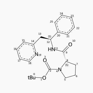 CC(C)(C)OC(=O)N1CCC[C@H]1C(=O)N[C@@H](Cc1ccccn1)c1ccccc1